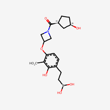 O=C(O)c1c(OC2CN(C(=O)[C@H]3CC[C@@H](O)C3)C2)ccc(CCB(O)O)c1O